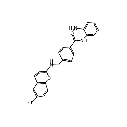 Nc1ccccc1NC(=O)c1ccc(CNC2=C=Cc3cc(Cl)ccc3O2)cc1